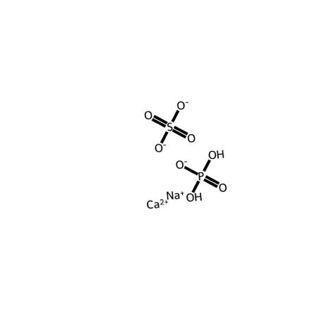 O=P([O-])(O)O.O=S(=O)([O-])[O-].[Ca+2].[Na+]